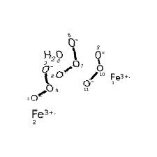 O.[Fe+3].[Fe+3].[O-]O[O-].[O-]O[O-].[O-]O[O-]